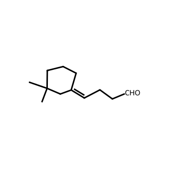 CC1(C)CCC/C(=C\CCC=O)C1